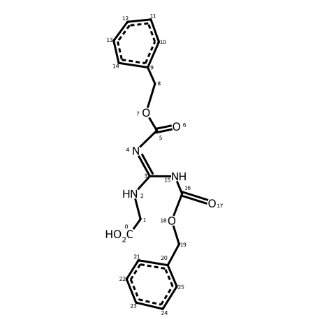 O=C(O)CNC(=NC(=O)OCc1ccccc1)NC(=O)OCc1ccccc1